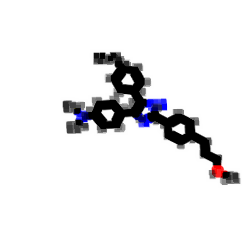 CCOC/C=C/c1ccc(-c2nc(-c3ccc(N(CC)CC)cc3)c(-c3ccc(NC)cc3)[nH]2)cc1